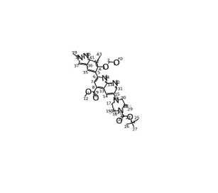 COCOc1c(-c2cc(C(=O)OC)c3cc(N4C[C@@H](C)N(C(=O)OC(C)(C)C)[C@@H](C)C4)cnc3n2)cc2cn(C)nc2c1C